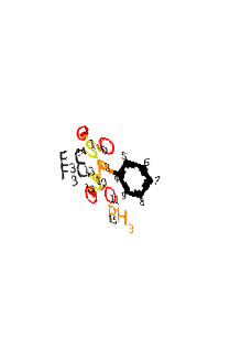 O=S(=O)(P(c1ccccc1)S(=O)(=O)C(F)(F)F)C(F)(F)F.P